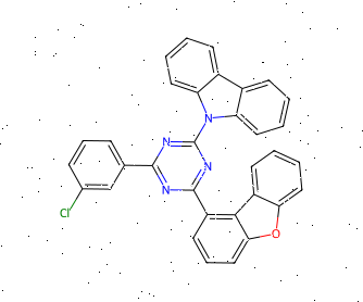 Clc1cccc(-c2nc(-c3cccc4oc5ccccc5c34)nc(-n3c4ccccc4c4ccccc43)n2)c1